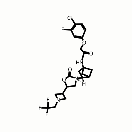 O=C(COc1ccc(Cl)c(F)c1)NC12CC(C1)[C@H](N1CC(C3CN(CC(F)(F)F)C3)OC1=O)C2